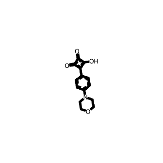 O=c1c(O)c(-c2ccc(N3CCOCC3)cc2)c1=O